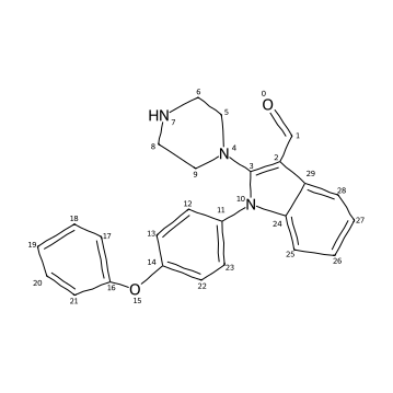 O=Cc1c(N2CCNCC2)n(-c2ccc(Oc3ccccc3)cc2)c2ccccc12